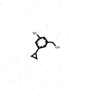 N#Cc1cc(CO)cc(C2CC2)c1